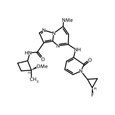 CNc1cc(Nc2cccn(C3C[C@H]3F)c2=O)nc2c(C(=O)NC3CC[C@]3(C)OC)cnn12